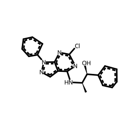 C[C@@H](Nc1nc(Cl)nc2c1cnn2-c1ccccc1)[C@@H](O)c1ccccc1